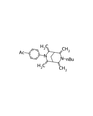 C=C1C2CC(C(=C)N1CCCC)C(=C)N(c1ccc(C(C)=O)cc1)C2=C